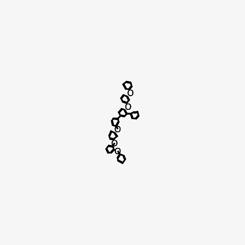 c1ccc(Oc2cccc(Oc3ccc(-c4cccc(Oc5cccc(Oc6ccccc6Oc6ccccc6)c5)c4)cc3-c3ccccc3)c2)cc1